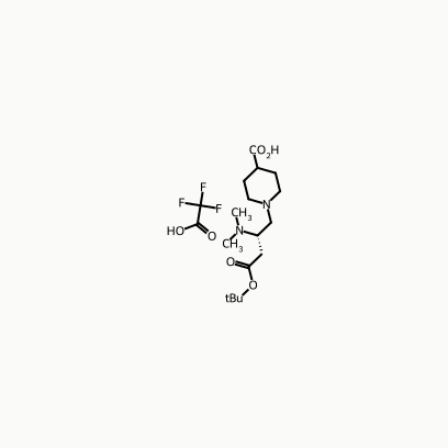 CN(C)[C@@H](CC(=O)OC(C)(C)C)CN1CCC(C(=O)O)CC1.O=C(O)C(F)(F)F